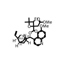 C=C[C@H]1C[N@]2CC[C@H]1C[C@H]2[C@H](OC(=O)C1(CC(=O)OC)OC(C)(C)C1CC)c1ccnc2ccc(OC)cc12